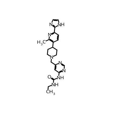 CCNC(=O)Nc1cc(CN2CCC(c3ccc(-c4ncc[nH]4)nc3C)CC2)ncn1